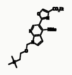 CCOC(=O)c1coc(-c2cnc3c(ccn3COCC[Si](C)(C)C)c2NC)n1